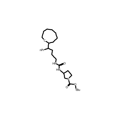 CCCC(CCCNC(=O)NC1CCN(C(=O)OC(C)(C)C)C1)C1CCCCCCCC1